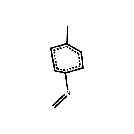 C=Nc1ccc(I)cc1